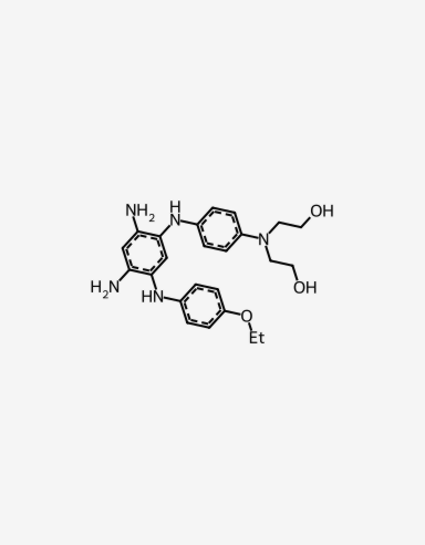 CCOc1ccc(Nc2cc(Nc3ccc(N(CCO)CCO)cc3)c(N)cc2N)cc1